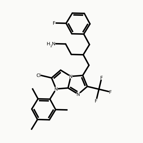 Cc1cc(C)c(-n2c(Cl)cn3c(CC(CCN)Cc4cccc(F)c4)c(C(F)(F)F)nc23)c(C)c1